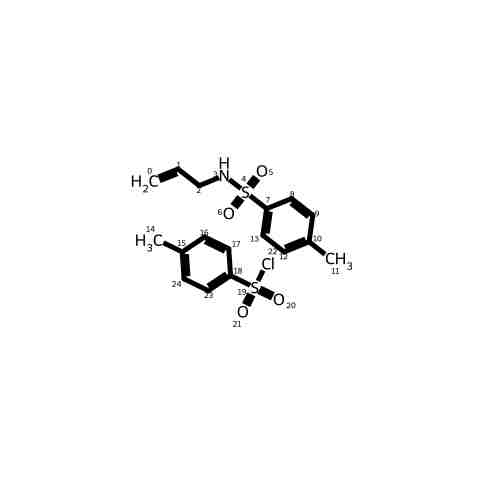 C=CCNS(=O)(=O)c1ccc(C)cc1.Cc1ccc(S(=O)(=O)Cl)cc1